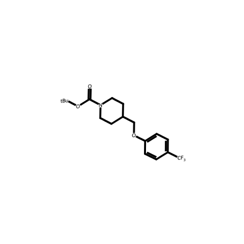 CC(C)(C)OC(=O)N1CCC(COc2ccc(C(F)(F)F)cc2)CC1